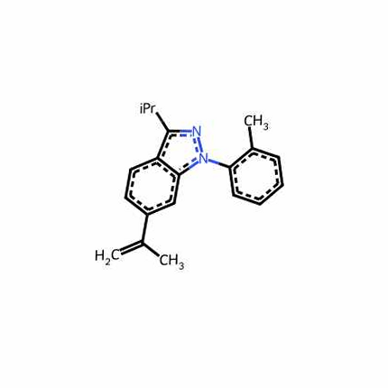 C=C(C)c1ccc2c(C(C)C)nn(-c3ccccc3C)c2c1